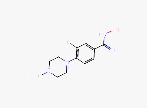 N=C(NO)c1ccc(N2CCN(C(=O)O)CC2)c(F)c1